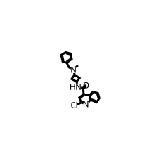 CN(Cc1ccccc1)C1CC(NC(=O)c2cc(Cl)nc3ccccc23)C1